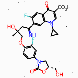 C[C@](O)(COc1ccc(N2C[C@H](CO)OC2=O)cc1F)CC(=N)c1cc2c(cc1F)c(=O)c(C(=O)O)cn2C1CC1